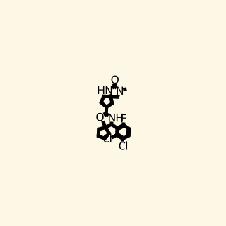 CN1CC2(CCC(C(=O)NC(c3c(F)ccc(Cl)c3Cl)C3(C)CCCC3)C2)NC1=O